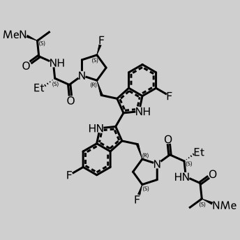 CC[C@H](NC(=O)[C@H](C)NC)C(=O)N1C[C@@H](F)C[C@H]1Cc1c(-c2[nH]c3c(F)cccc3c2C[C@@H]2C[C@H](F)CN2C(=O)[C@H](CC)NC(=O)[C@H](C)NC)[nH]c2cc(F)ccc12